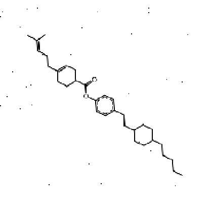 CCCCCC1CCC(CCc2ccc(OC(=O)C3CC=C(CCC=C(C)C)CC3)cc2)CC1